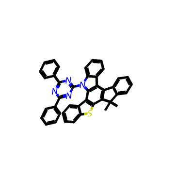 CC1(C)c2ccccc2-c2c1c1sc3ccccc3c1c1c2c2ccccc2n1-c1nc(-c2ccccc2)nc(-c2ccccc2)n1